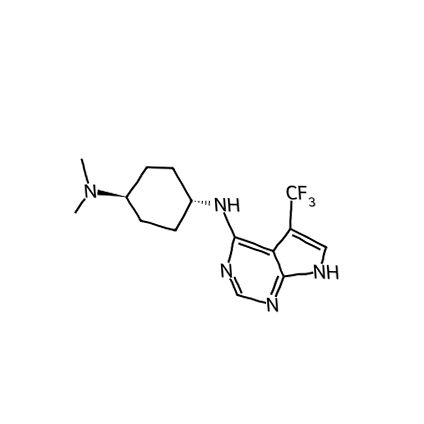 CN(C)[C@H]1CC[C@H](Nc2ncnc3[nH]cc(C(F)(F)F)c23)CC1